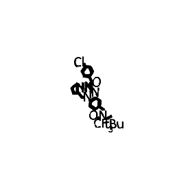 CC(N(Cc1ccc2c(c1)nc(NC(=O)c1ccc(Cl)cc1)n2CC1CCCN1)C(=O)C(F)(F)F)C(C)(C)C